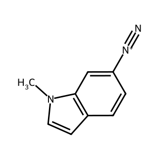 Cn1ccc2ccc([N+]#N)cc21